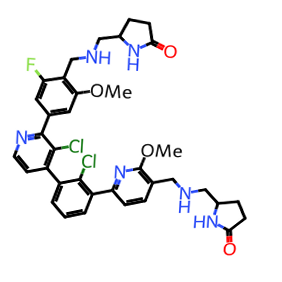 COc1cc(-c2nccc(-c3cccc(-c4ccc(CNCC5CCC(=O)N5)c(OC)n4)c3Cl)c2Cl)cc(F)c1CNCC1CCC(=O)N1